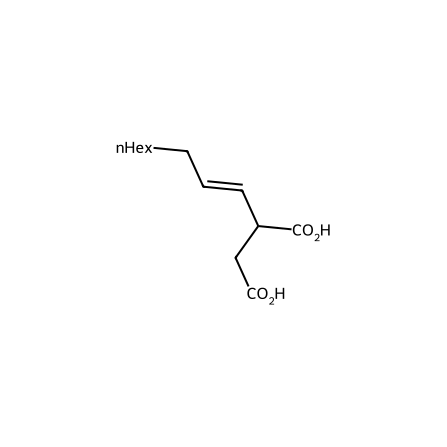 CCCCCCCC=CC(CC(=O)O)C(=O)O